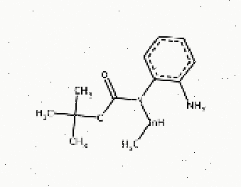 [CH3][InH][N](C(=O)OC(C)(C)C)c1ccccc1N